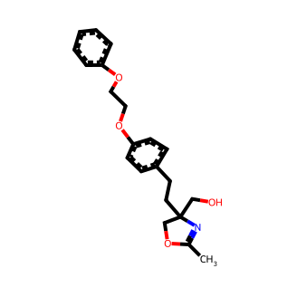 CC1=NC(CO)(CCc2ccc(OCCOc3ccccc3)cc2)CO1